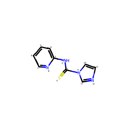 S=C(Nc1ccccn1)n1ccnc1